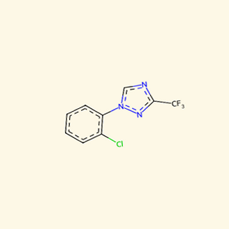 FC(F)(F)c1ncn(-c2ccccc2Cl)n1